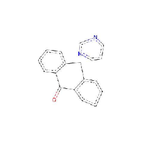 O=C1c2ccccc2Cc2ccccc21.c1cncnc1